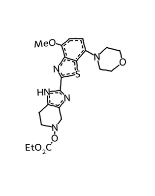 CCOC(=O)ON1CCc2[nH]c(-c3nc4c(OC)ccc(N5CCOCC5)c4s3)nc2C1